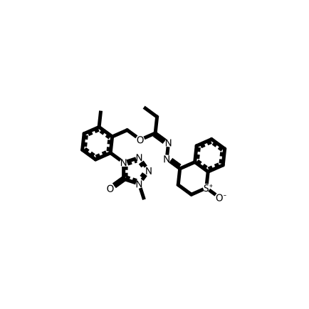 CC/C(=N/N=C1/CC[S+]([O-])c2ccccc21)OCc1c(C)cccc1-n1nnn(C)c1=O